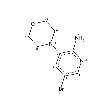 Nc1ncc(Br)cc1N1CCOCC1